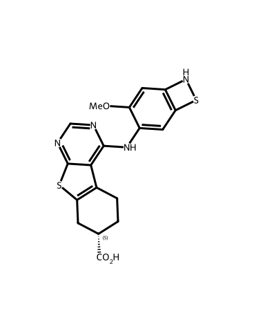 COc1cc2[nH]sc2cc1Nc1ncnc2sc3c(c12)CC[C@H](C(=O)O)C3